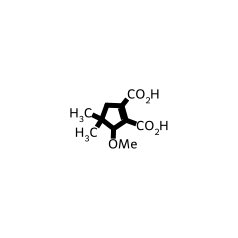 COC1C(C(=O)O)=C(C(=O)O)CC1(C)C